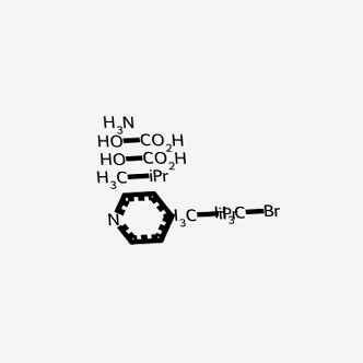 CBr.CC(C)C.CC(C)C.N.O=C(O)O.O=C(O)O.c1ccncc1